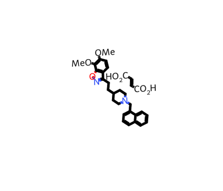 COc1ccc2c(CCC3CCN(Cc4cccc5ccccc45)CC3)noc2c1OC.O=C(O)C=CC(=O)O